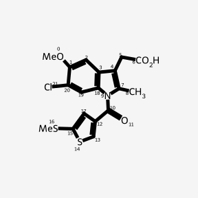 COc1cc2c(CC(=O)O)c(C)n(C(=O)c3csc(SC)c3)c2cc1Cl